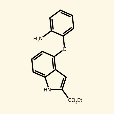 CCOC(=O)c1cc2c(Oc3ccccc3N)cccc2[nH]1